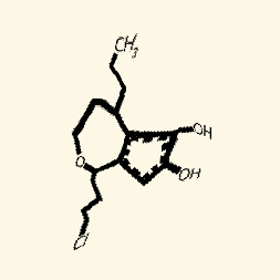 CCCC1CCOC(CCCl)c2cc(O)c(O)cc21